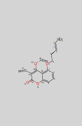 CC/C=C/CCOc1cccc2oc(=O)c(OC)c(OCCCCCCCCCC)c12